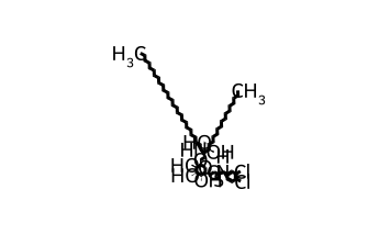 CCCCCCCCCCCCCCCCCCCCCCCCCCN[C@@H](CO[C@H]1O[C@H](COC(=S)Nc2ccc(Cl)c(Cl)c2)[C@H](O)[C@H](O)[C@H]1O)[C@H](O)[C@H](O)CCCCCCCCCCCCCC